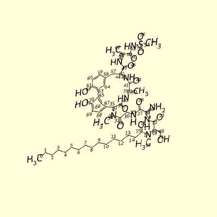 CCCCCCCCCCCCCCCC(=O)N(C)[C@H](CO)C(=O)N[C@H](N)C(=O)NCC(=O)N(C)[C@@H]1C(=O)N[C@@H](C)C(=O)N[C@H](C(=O)N[C@@H](C)C(=O)NS(C)(=O)=O)Cc2ccc(O)c(c2)-c2cc1ccc2O